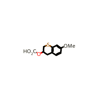 COc1ccc2c(c1)SCC(OC(=O)O)C2